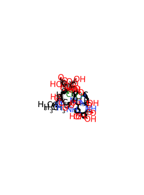 CN[C@H](CC(C)C)C(=O)N[C@H]1C(=O)C[C@@H](CC(N)=O)C(=O)N[C@H]2C(=O)CC3C(=O)N[C@H](C(=O)N[C@@H](OC=O)c4cc(O)cc(O)c4-c4cc3ccc4O)C(O)c3ccc(c(Cl)c3)Oc3cc2cc(c3OC2O[C@H](CO)[C@@H](OC3O[C@H](C=O)[C@H](O)[C@H](O)[C@H]3O)[C@H](O)[C@H]2O)Oc2ccc(cc2Cl)[C@H]1O